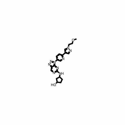 COCCn1cc(-c2ccc(-n3nnc4cnc(NC5CCC(O)C5)nc43)cn2)cn1